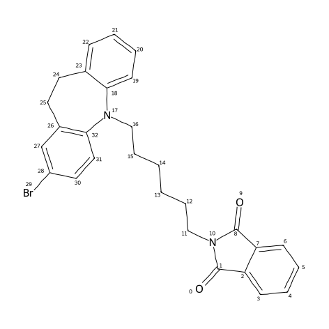 O=C1c2ccccc2C(=O)N1CCCCCCN1c2ccccc2CCc2cc(Br)ccc21